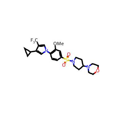 COc1cc(S(=O)(=O)N2CCC(N3CCOCC3)CC2)ccc1-n1cc(C2CC2)c(C(F)(F)F)c1